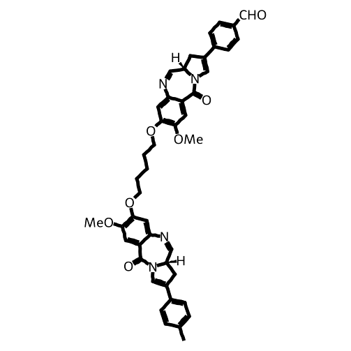 COc1cc2c(cc1OCCCCCOc1cc3c(cc1OC)C(=O)N1C=C(c4ccc(C=O)cc4)C[C@H]1C=N3)N=C[C@@H]1CC(c3ccc(C)cc3)=CN1C2=O